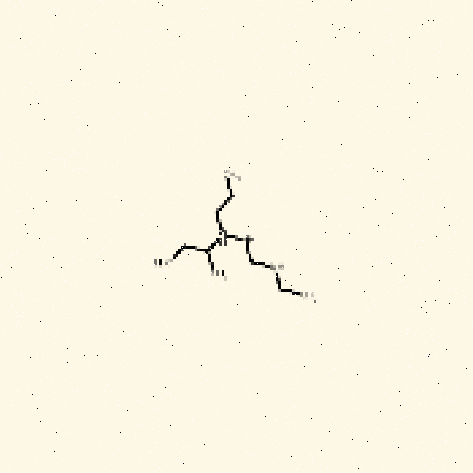 CCC[SiH](NCNCC)C(C)CC